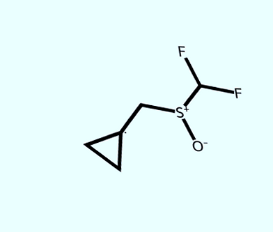 [O-][S+](C[C]1CC1)C(F)F